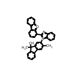 Cc1cc2c(cc1-n1c(-c3cccc4c3oc3ccccc34)nc3ccccc31)C(C)(C)c1ccccc1-2